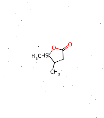 CC1CC(=O)O[SiH]1C